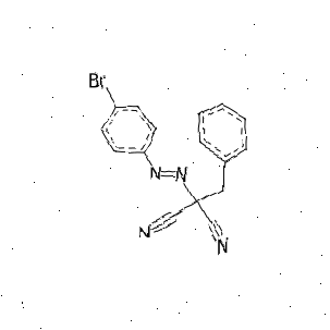 N#CC(C#N)(Cc1ccccc1)N=Nc1ccc(Br)cc1